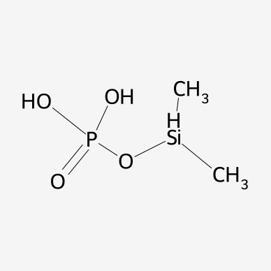 C[SiH](C)OP(=O)(O)O